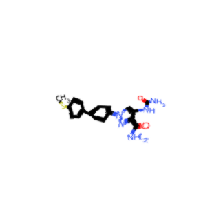 CSc1ccc(-c2ccc(-n3cc(NC(N)=O)c(C(N)=O)n3)cc2)cc1